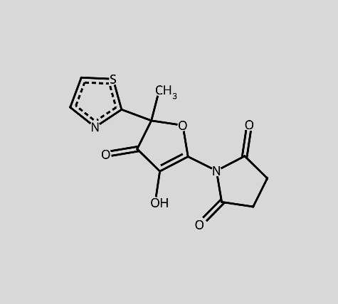 CC1(c2nccs2)OC(N2C(=O)CCC2=O)=C(O)C1=O